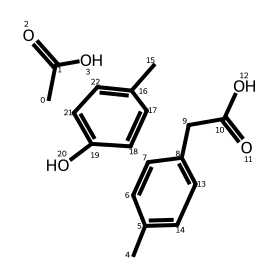 CC(=O)O.Cc1ccc(CC(=O)O)cc1.Cc1ccc(O)cc1